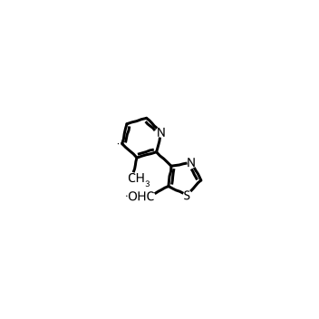 Cc1[c]ccnc1-c1ncsc1[C]=O